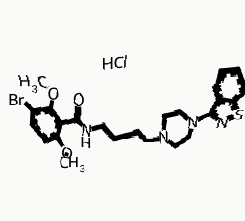 COc1ccc(Br)c(OC)c1C(=O)NCCCCN1CCN(c2nsc3ccccc23)CC1.Cl